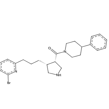 O=C([C@@H]1CNC[C@@H]1CCCc1cccc(Br)n1)N1CCC(c2ccccc2)CC1